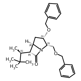 C[C@@H]([C@H]1C(=O)N2[C@@H]1C[C@H](OCc1ccccc1)[C@@H]2COCc1ccccc1)C(C)(C)C